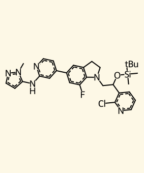 Cn1nccc1Nc1cc(-c2cc(F)c3c(c2)CCN3CC(O[Si](C)(C)C(C)(C)C)c2cccnc2Cl)ccn1